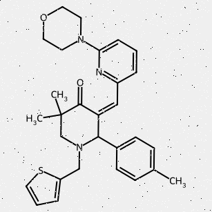 Cc1ccc(C2C(=Cc3cccc(N4CCOCC4)n3)C(=O)C(C)(C)CN2Cc2cccs2)cc1